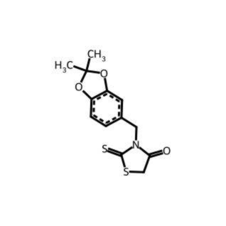 CC1(C)Oc2ccc(CN3C(=O)CSC3=S)cc2O1